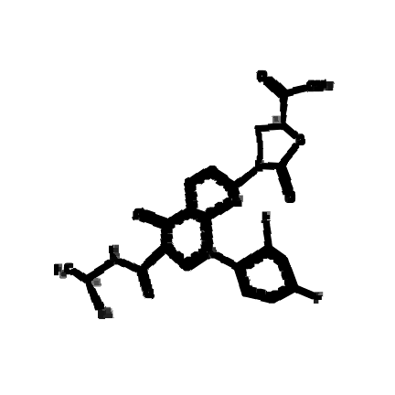 CC[C@H](NC(=O)c1cn(-c2ccc(F)cc2F)c2nc(N3C[C@@H](C(=O)OC)OC3=O)ccc2c1=O)C(F)(F)F